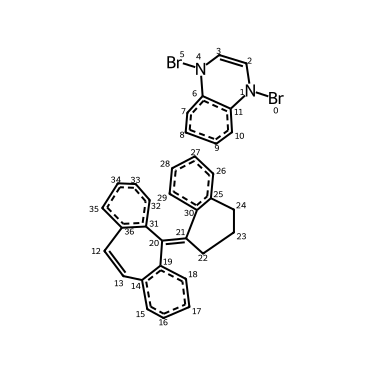 BrN1C=CN(Br)c2ccccc21.C1=Cc2ccccc2C(=C2CCCc3ccccc32)c2ccccc21